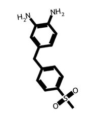 CS(=O)(=O)c1ccc(Cc2ccc(N)c(N)c2)cc1